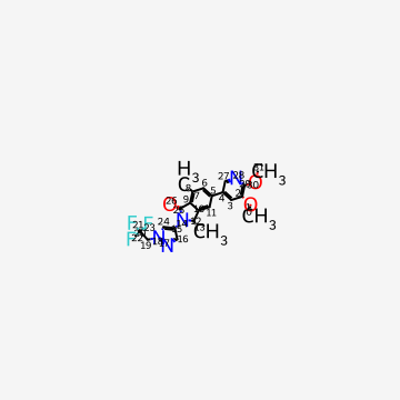 COc1cc(-c2cc(C)c3c(c2)C(C)N(c2cnn(CC(F)(F)F)c2)C3=O)cnc1OC